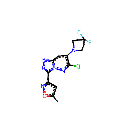 Cc1cc(-c2nnc3cc(N4CC(F)(F)C4)c(Cl)nn23)no1